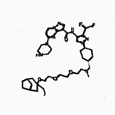 CCC1(OCCOCCOCCN(C)C[C@H]2CC[C@H](n3cc(NC(=O)c4cnn5ccc(N6CCNCC6)nc45)c(C(F)F)n3)CC2)CC2CCC(C2)C1